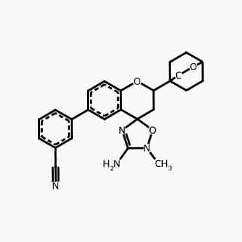 CN1OC2(CC(C34CCC(CC3)OC4)Oc3ccc(-c4cccc(C#N)c4)cc32)N=C1N